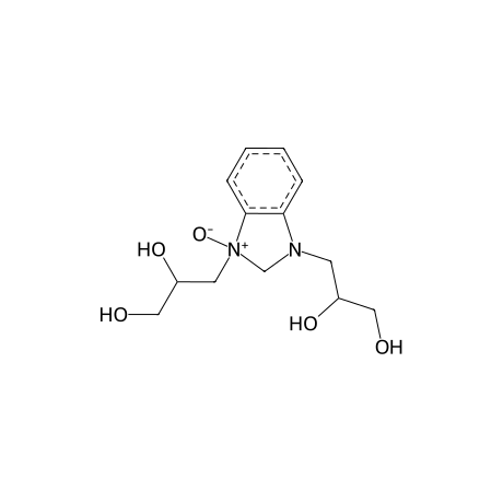 [O-][N+]1(CC(O)CO)CN(CC(O)CO)c2ccccc21